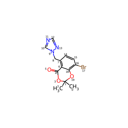 CC1(C)OC(=O)c2c(Cn3cncn3)ccc(Br)c2O1